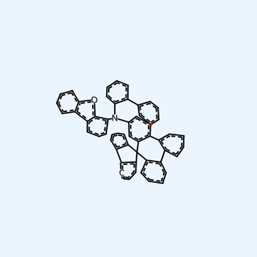 c1ccc(-c2ccccc2N(c2ccc3c(c2)C2(c4ccccc4-c4ccccc4-3)c3ccccc3-c3ccccc32)c2cccc3c2oc2ccccc23)cc1